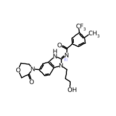 Cc1ccc(C(=O)/N=c2\[nH]c3cc(N4CCOCC4=O)ccc3n2CCCO)cc1C(F)(F)F